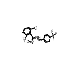 ON=C(NCc1ccc(C(F)(F)F)cc1)c1c(Cl)cccc1Cl